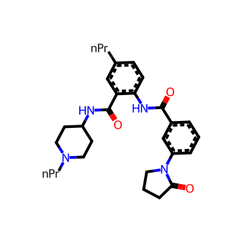 CCCc1ccc(NC(=O)c2cccc(N3CCCC3=O)c2)c(C(=O)NC2CCN(CCC)CC2)c1